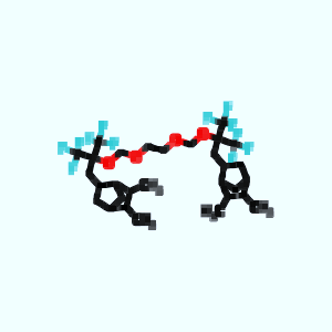 CC1C2CC(CC(OCOCCOCOC(CC3CC4CC3C(C)C4C)(C(F)(F)F)C(F)(F)F)(C(F)(F)F)C(F)(F)F)C(C2)C1C